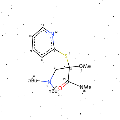 CCCCN(CCCC)CC(OC)(Sc1ccccn1)C(=O)NC